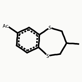 CC(=O)c1ccc2c(c1)SCC(C)CS2